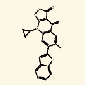 O=c1[nH]sc2c1c(=O)c1cc(F)c(-c3cc4ccccc4o3)cc1n2C1CC1